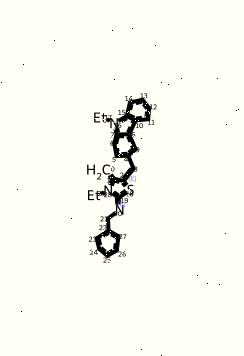 C=c1/c(=C\c2ccc3c(c2)c2ccccc2n3CC)s/c(=N/Cc2ccccc2)n1CC